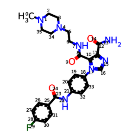 CN1CCN(CCNC(=O)c2c(C(N)=O)ncn2-c2ccc(NC(=O)c3ccc(F)cc3)cc2)CC1